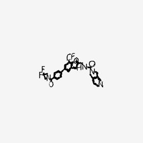 O=C(NCc1cc2cc(-c3ccc(C(=O)N4CC(F)(F)C4)cc3)cc(C(F)(F)F)c2o1)N1Cc2ccncc2C1